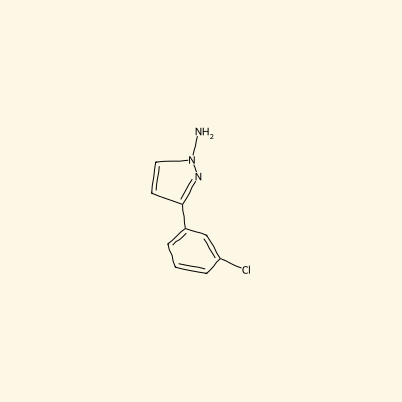 Nn1ccc(-c2cccc(Cl)c2)n1